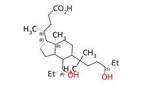 CC[C@H](O)CCC(C)(C)C1CC[C@@]2(C)C(CC[C@@H]2[C@H](C)CCC(=O)O)C1[C@H](O)CC